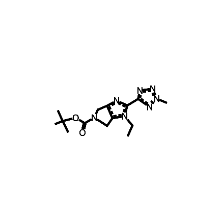 CCn1c(-c2nnn(C)n2)nc2c1CN(C(=O)OC(C)(C)C)C2